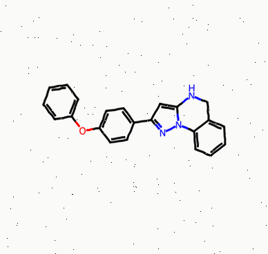 c1ccc(Oc2ccc(-c3cc4n(n3)-c3ccccc3CN4)cc2)cc1